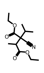 CCOC(=O)C(C)C(C#N)(C(=O)OCC)C(C)C